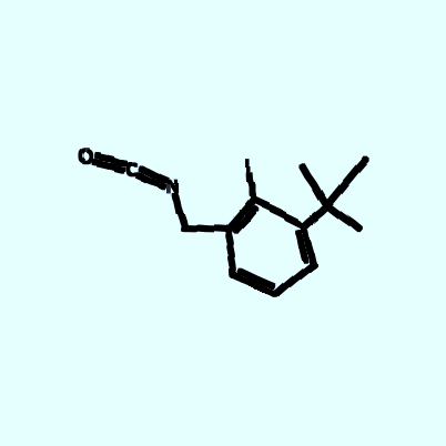 CC(C)(C)c1cccc(CN=C=O)c1I